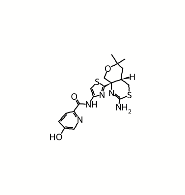 CC1(C)C[C@@H]2CSC(N)=N[C@]2(c2nc(NC(=O)c3ccc(O)cn3)cs2)CO1